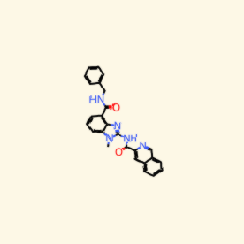 Cn1c(NC(=O)c2cc3ccccc3cn2)nc2c(C(=O)NCc3ccccc3)cccc21